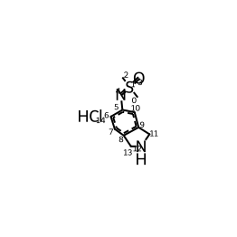 CS(C)(=O)=Nc1ccc2c(c1)CNC2.Cl